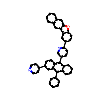 c1ccc(-c2c3ccccc3c(-c3ccc(-c4ccc5oc6cc7ccccc7cc6c5c4)nc3)c3ccc(-c4ccncc4)cc23)cc1